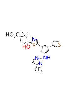 CC1(C)C[C@@](O)(c2ncc(-c3cc(Nc4nccc(C(F)(F)F)n4)cc(-c4ccsc4)c3)s2)CC[C@H]1C(=O)O